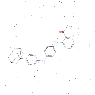 COC(=O)c1c(Nc2ccc(N(C)c3ccc(C45CC6CC(CC(C6)C4)C5)cc3)cc2)cccc1OC